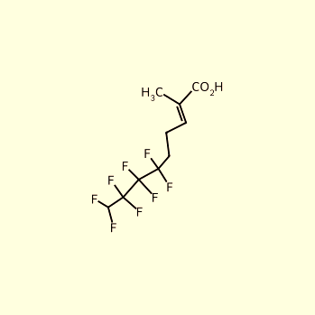 CC(=CCCC(F)(F)C(F)(F)C(F)(F)C(F)F)C(=O)O